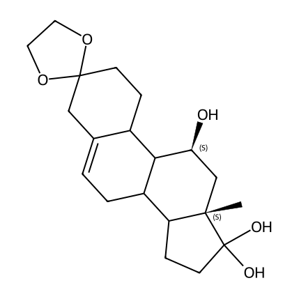 C[C@]12C[C@H](O)C3C4CCC5(CC4=CCC3C1CCC2(O)O)OCCO5